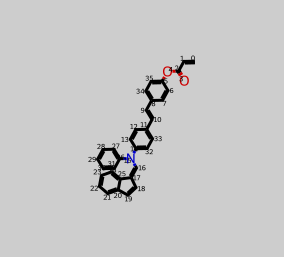 C=CC(=O)Oc1ccc(C=Cc2ccc(N(/C=C3/C=Cc4ccccc43)c3ccccc3)cc2)cc1